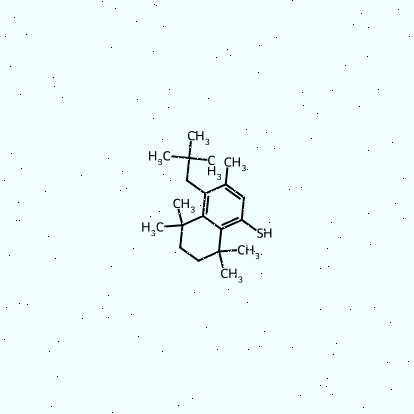 Cc1cc(S)c2c(c1CC(C)(C)C)C(C)(C)CCC2(C)C